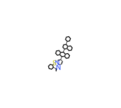 C=C1N=C2C=CC(c3c4ccccc4c(-c4ccc(-c5ccccc5)c5ccccc45)c4ccccc34)=CN2Sc2ccccc21